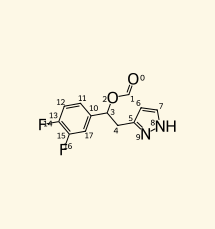 O=COC(Cc1cc[nH]n1)c1ccc(F)c(F)c1